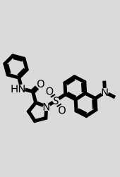 CN(C)c1cccc2c(S(=O)(=O)N3CCCC3C(=O)Nc3ccccc3)cccc12